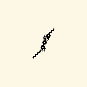 CCCCCCCCOc1ccc(-c2ccc(C(=O)Oc3ccc(CCCCC)cc3F)cc2)cc1F